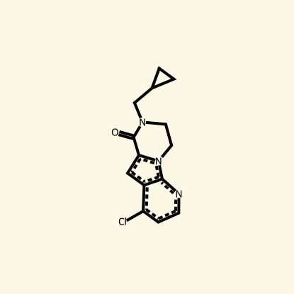 O=C1c2cc3c(Cl)ccnc3n2CCN1CC1CC1